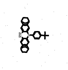 CC(C)(C)c1ccc(N(c2cc3c(cc2Br)C2CCC3CC2)c2cc3c(cc2Br)C2CCC3CC2)cc1